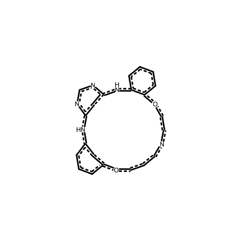 c1cnccoc2ccccc2[nH]c2cc(ncn2)[nH]c2cccc(c2)oc1